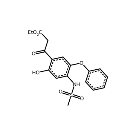 CCOC(=O)CC(=O)c1cc(Oc2ccccc2)c(NS(C)(=O)=O)cc1O